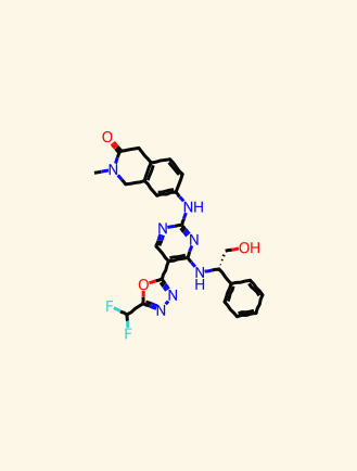 CN1Cc2cc(Nc3ncc(-c4nnc(C(F)F)o4)c(N[C@H](CO)c4ccccc4)n3)ccc2CC1=O